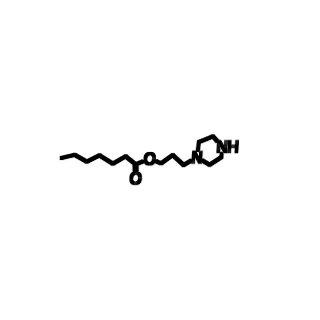 CCCCCCC(=O)OCCCN1CCNCC1